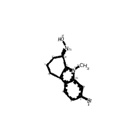 Cn1c2c(c3ccc(Br)cc31)CCC/C2=N\O